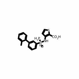 Cc1ccccc1-c1cccc([SH](=O)(P)Nc2ccsc2C(=O)O)c1